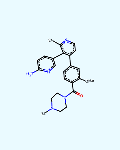 CCc1nccc(-c2ccc(C(=O)N3CCN(CC)CC3)c(OC)c2)c1-c1ccc(N)nc1